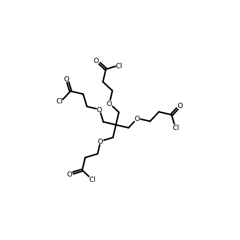 O=C(Cl)CCOCC(COCCC(=O)Cl)(COCCC(=O)Cl)COCCC(=O)Cl